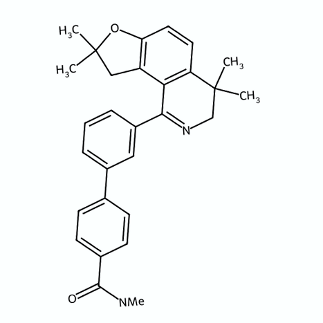 CNC(=O)c1ccc(-c2cccc(C3=NCC(C)(C)c4ccc5c(c43)CC(C)(C)O5)c2)cc1